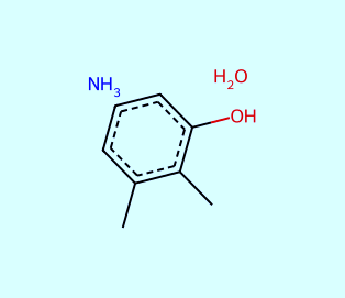 Cc1cccc(O)c1C.N.O